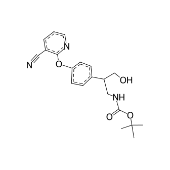 CC(C)(C)OC(=O)NCC(CO)c1ccc(Oc2ncccc2C#N)cc1